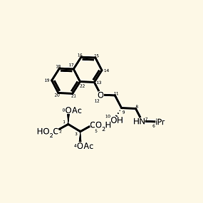 CC(=O)O[C@H](C(=O)O)[C@H](OC(C)=O)C(=O)O.CC(C)NC[C@H](O)COc1cccc2ccccc12